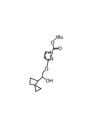 CC(C)(C)OC(=O)n1ccc(OCC(O)C2CCC23CC3)n1